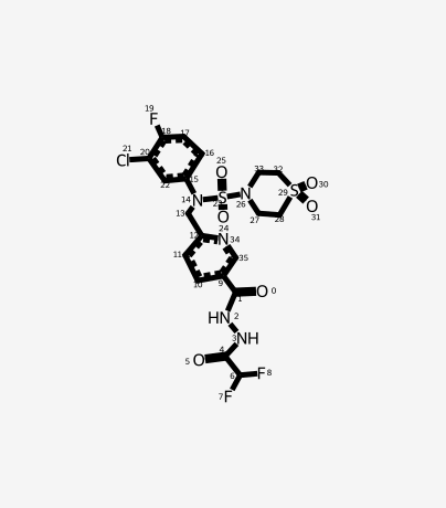 O=C(NNC(=O)C(F)F)c1ccc(CN(c2ccc(F)c(Cl)c2)S(=O)(=O)N2CCS(=O)(=O)CC2)nc1